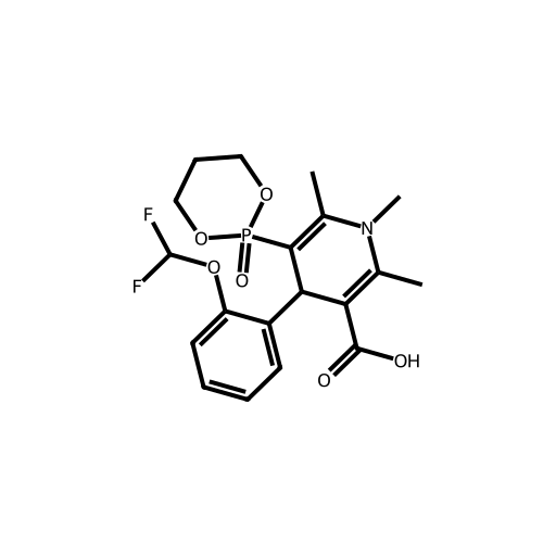 CC1=C(C(=O)O)C(c2ccccc2OC(F)F)C(P2(=O)OCCCO2)=C(C)N1C